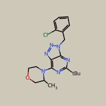 CC1COCCN1c1nc(C(C)(C)C)nc2c1nnn2Cc1ccccc1Cl